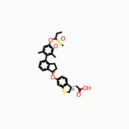 CCC(Oc1cc(C)c(-c2cccc3c2CC[C@H]3Oc2ccc3c(c2)SC[C@H]3CC(=O)O)c(C)c1)S(C)(=O)=O